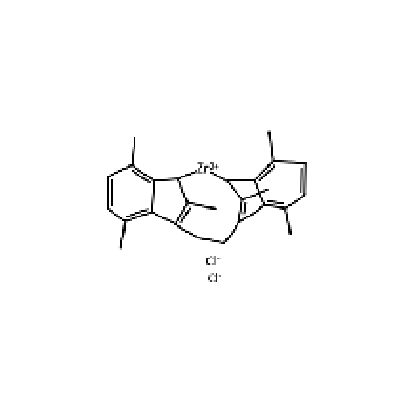 CC1=C2CCC3=C(C)[CH]([Zr+2][CH]1c1c(C)ccc(C)c12)c1c(C)ccc(C)c13.[Cl-].[Cl-]